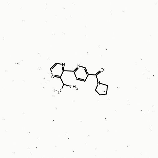 CC(C)c1nccnc1-c1ccc(C(=O)N2CCCC2)cn1